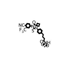 CS(=O)(=O)NC(=O)CCCc1ccc(N2C(=S)N(c3ccc(C#N)c(C(F)(F)F)c3)C(=O)C23CCC3)cc1